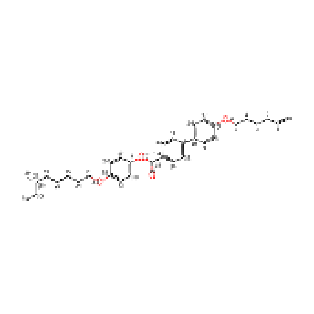 C=CCCCCOc1ccc(-c2ccc(C(=O)Oc3ccc(OCCCCC[C@@H](C)CC)cc3)cc2)cc1